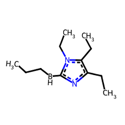 CCCBc1nc(CC)c(CC)n1CC